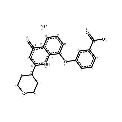 O=C([O-])c1cccc(Oc2cccc3c(=O)cc(N4CCOCC4)[nH]c23)c1.[Na+]